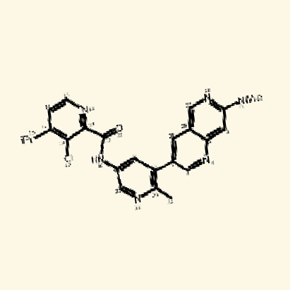 CNc1cc2ncc(-c3cc(NC(=O)c4nccc(C(C)C)c4Cl)cnc3C)cc2cn1